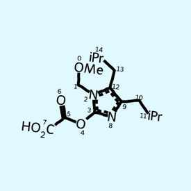 COCn1c(OC(=O)C(=O)O)nc(CC(C)C)c1CC(C)C